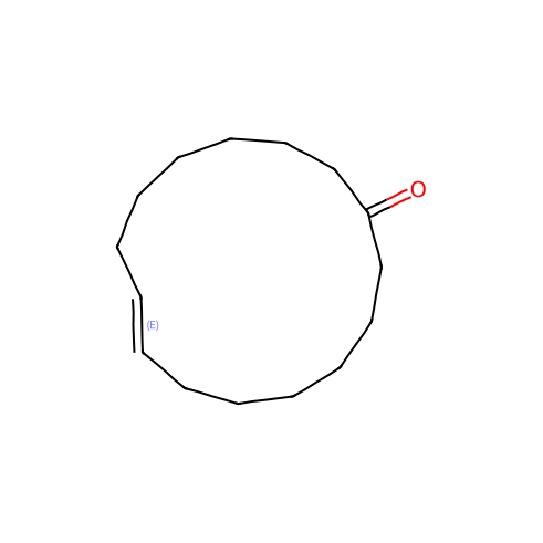 O=C1CCCCCC/C=C/CCCCCC1